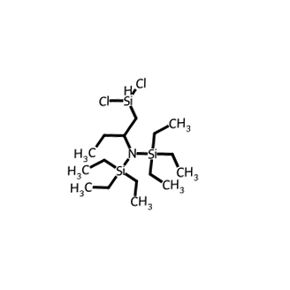 CCC(C[SiH](Cl)Cl)N([Si](CC)(CC)CC)[Si](CC)(CC)CC